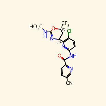 C[C@@]1(c2nc(NC(=O)c3ccc(C#N)cn3)ccc2Cl)C[C@@H](C(F)(F)F)OC(NC(=O)O)=N1